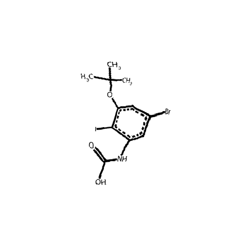 CC(C)(C)Oc1cc(Br)cc(NC(=O)O)c1I